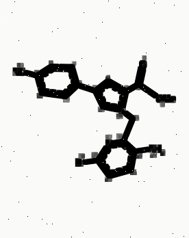 COC(=O)c1cc(-c2ccc(C#N)cc2)cn1Cc1nc(Br)ccc1N